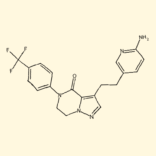 Nc1ccc(CCc2cnn3c2C(=O)N(c2ccc(C(F)(F)F)cc2)CC3)cn1